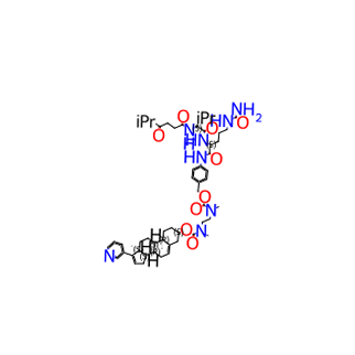 CC(C)C(=O)CCC(=O)N[C@H](C(=O)N[C@@H](CCCNC(N)=O)C(=O)Nc1ccc(COC(=O)N(C)CCN(C)C(=O)O[C@H]2CC[C@@]3(C)C(=CC[C@@H]4[C@@H]3CC[C@]3(C)C(c5cccnc5)=CC[C@@H]43)C2)cc1)C(C)C